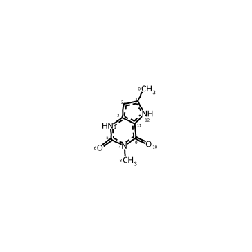 Cc1cc2[nH]c(=O)n(C)c(=O)c2[nH]1